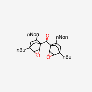 CCCCCCCCCC1CC2(CCCC)CCC1(C(=O)C13CCC(CCCC)(CC1CCCCCCCCC)C1OC13)C1OC12